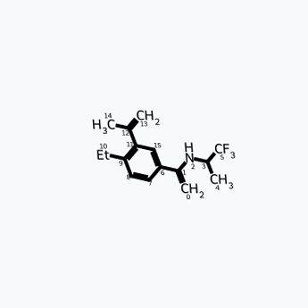 C=C(NC(C)C(F)(F)F)c1ccc(CC)c(C(=C)C)c1